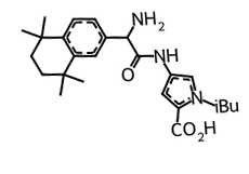 CCC(C)n1cc(NC(=O)C(N)c2ccc3c(c2)C(C)(C)CCC3(C)C)cc1C(=O)O